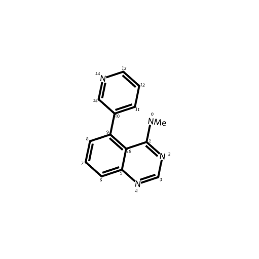 CNc1ncnc2cccc(-c3cccnc3)c12